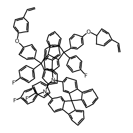 C=CC1=CCC(Oc2ccc(C3(c4ccc(F)cc4)c4ccccc4-c4ccc(N(c5ccc(F)cc5)c5ccc6c(c5)C5(c7ccccc7-c7ccc(N(c8ccc(F)cc8)c8ccc9c(c8)C(c8ccc(F)cc8)(c8ccc(Oc%10ccc(C=C)cc%10)cc8)c8ccccc8-9)cc75)c5ccccc5-6)cc43)cc2)C=C1